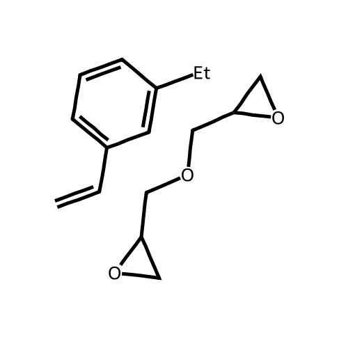 C(OCC1CO1)C1CO1.C=Cc1cccc(CC)c1